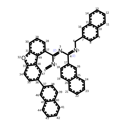 C=N/C(=N\C(=N/Cc1ccc2ccccc2c1)c1ccc2ccccc2c1)c1cccc2oc3ccc(-c4ccc5ccccc5c4)cc3c12